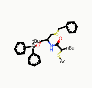 CCCCC(SC(C)=O)C(=O)NC(CO[Si](c1ccccc1)(c1ccccc1)C(C)(C)C)CSCc1ccccc1